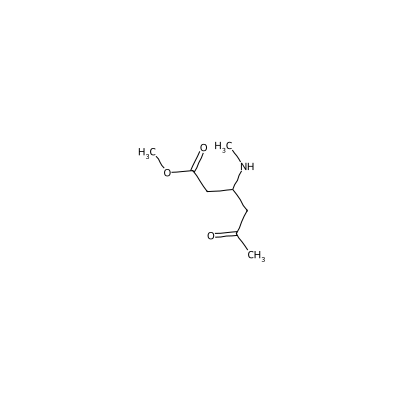 CNC(CC(C)=O)CC(=O)OC